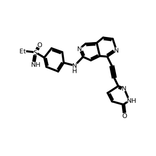 CCS(=N)(=O)c1ccc(Nc2cc3c(C#Cc4ccc(=O)[nH]n4)nccc3cn2)cc1